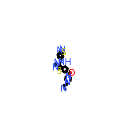 CN(C)CCN1CCN(C(=O)[C@H]2CCc3c(sc4ncnc(Nc5ccc6nnsc6c5)c34)C2)CC1